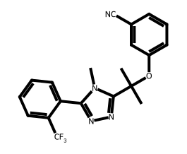 Cn1c(-c2ccccc2C(F)(F)F)nnc1C(C)(C)Oc1cccc(C#N)c1